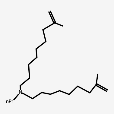 C=C(C)CCCCCCCN(CCC)CCCCCCCC(=C)C